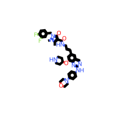 Cc1c(C(=O)NC/C=C/c2cc(OC3CCNCC3)c3nc(Nc4ccc(N5CCOCC5)cc4)ncc3c2)c(=O)n(Cc2ccc(F)c(F)c2)n1C